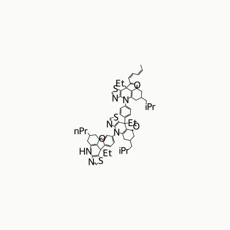 C=C(/C=C\C=C/C)[C@]1(CC)C2=C(CC(CC(C)C)CC2=O)N(c2ccc(C3(CC)C4=C(CC(CC(C)C)CC4=O)N(c4ccc([C@]5(CC)C6=C(CC(CCC)CC6=O)Nc6ncsc65)cc4)c4ncsc43)cc2)c2ncsc21